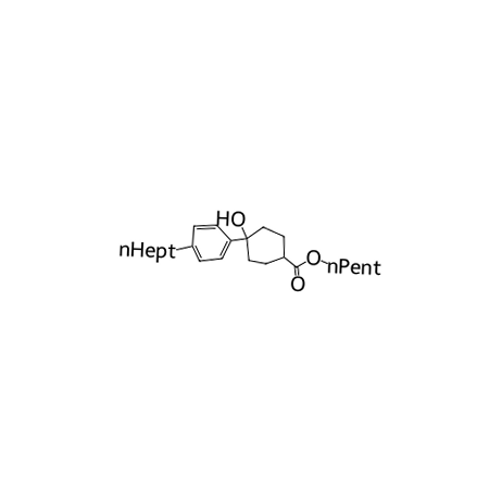 CCCCCCCc1ccc(C2(O)CCC(C(=O)OCCCCC)CC2)cc1